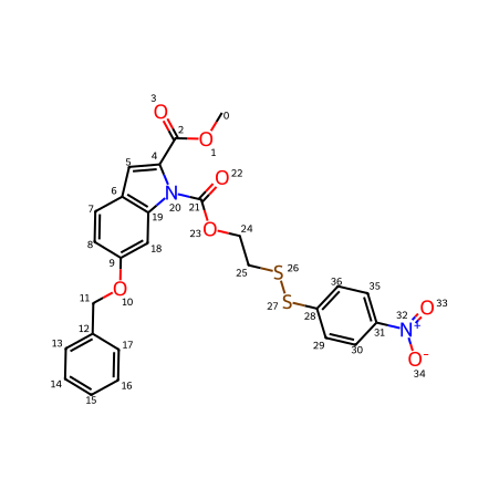 COC(=O)c1cc2ccc(OCc3ccccc3)cc2n1C(=O)OCCSSc1ccc([N+](=O)[O-])cc1